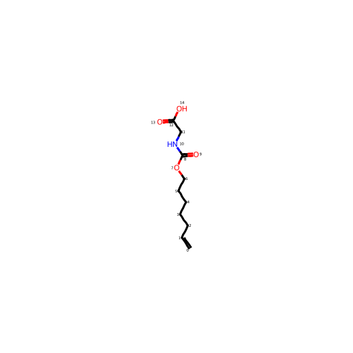 C=CCCCCCOC(=O)NCC(=O)O